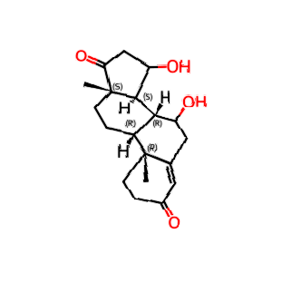 C[C@]12CCC(=O)C=C1CC(O)[C@@H]1[C@H]2CC[C@]2(C)C(=O)CC(O)[C@@H]12